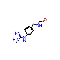 N=C(N)Nc1ccc(CNC[C]=O)cc1